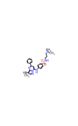 CBc1cnn2c(Nc3ccc(S(=O)(=O)NCCCN(C)C)cc3)cc(-c3ccccc3)nc12